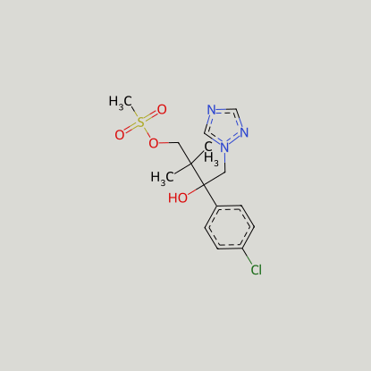 CC(C)(COS(C)(=O)=O)C(O)(Cn1cncn1)c1ccc(Cl)cc1